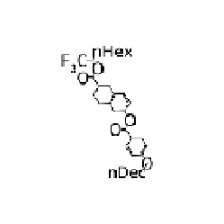 CCCCCCCCCCOc1ccc(C(=O)Oc2ccc3c(c2)CCC(C(=O)O[C@H](CCCCCC)C(F)(F)F)C3)cc1